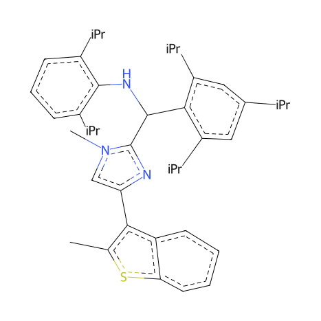 Cc1sc2ccccc2c1-c1cn(C)c(C(Nc2c(C(C)C)cccc2C(C)C)c2c(C(C)C)cc(C(C)C)cc2C(C)C)n1